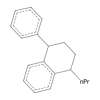 CCCC1CCC(c2ccccc2)c2ccccc21